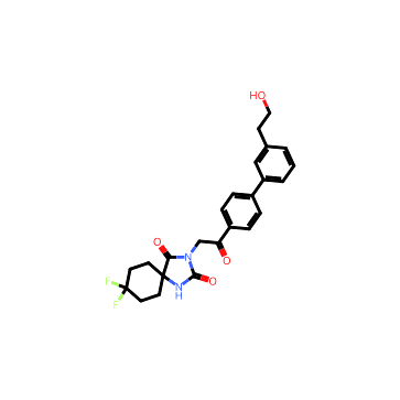 O=C(CN1C(=O)NC2(CCC(F)(F)CC2)C1=O)c1ccc(-c2cccc(CCO)c2)cc1